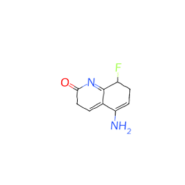 NC1=CCC(F)C2=NC(=O)CC=C12